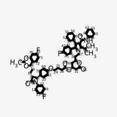 CC(=O)O[C@@H](CC[C@H]1C(=O)N(c2ccc(F)cc2)[C@@H]1c1ccc(OCCCC(=O)OC2CC(=O)OC(CCn3c(-c4ccc(F)cc4)c(-c4ccccc4)c(C(=O)Nc4ccccc4)c3C(C)C)C2)cc1)c1ccc(F)cc1